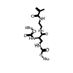 C=C(C)C(=O)NCCNC(=O)C(CNC(=O)OC(C)(C)C)NC(=O)OC(C)(C)C